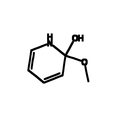 COC1(O)C=CC=CN1